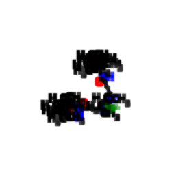 C[N+](C)(CCCCCC(=O)NCCC[Si](O[Si](C)(C)C)(O[Si](C)(C)C)O[Si](C)(C)C)CCC[N+](C)(C)CCCCCC(=O)NCCC[Si](O[Si](C)(C)C)(O[Si](C)(C)C)O[Si](C)(C)C.[Br-].[Br-]